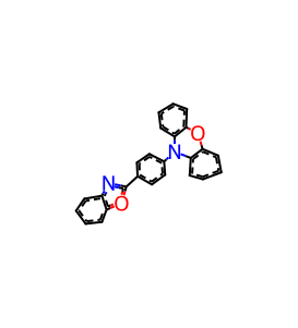 c1ccc2c(c1)Oc1ccccc1N2c1ccc(-c2nc3ccccc3o2)cc1